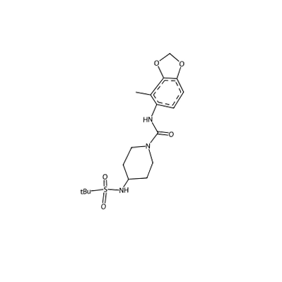 Cc1c(NC(=O)N2CCC(NS(=O)(=O)C(C)(C)C)CC2)ccc2c1OCO2